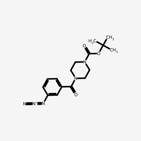 CC(C)(C)OC(=O)N1CCN(C(=O)c2cccc(N=[N+]=[N-])c2)CC1